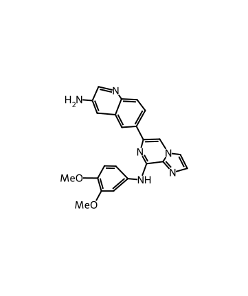 COc1ccc(Nc2nc(-c3ccc4ncc(N)cc4c3)cn3ccnc23)cc1OC